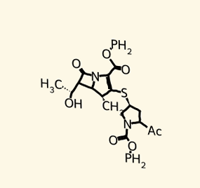 CC(=O)C1C[C@H](SC2=C(C(=O)OP)N3C(=O)C([C@@H](C)O)C3[C@H]2C)CN1C(=O)OP